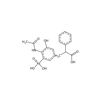 CC(=O)Nc1c(O)cccc1[As](=O)(O)O.CC(C(=O)O)c1ccccc1